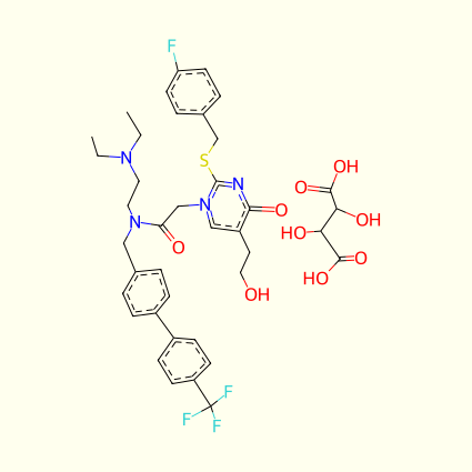 CCN(CC)CCN(Cc1ccc(-c2ccc(C(F)(F)F)cc2)cc1)C(=O)Cn1cc(CCO)c(=O)nc1SCc1ccc(F)cc1.O=C(O)C(O)C(O)C(=O)O